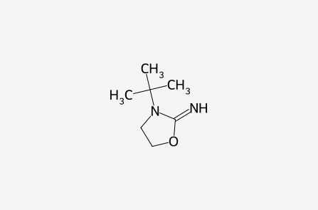 CC(C)(C)N1CCOC1=N